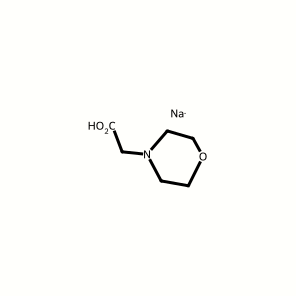 O=C(O)CN1CCOCC1.[Na]